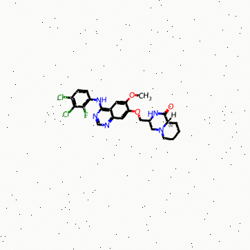 COc1cc2c(Nc3ccc(Cl)c(Cl)c3F)ncnc2cc1OCC1CN2CCCC[C@H]2C(=O)N1